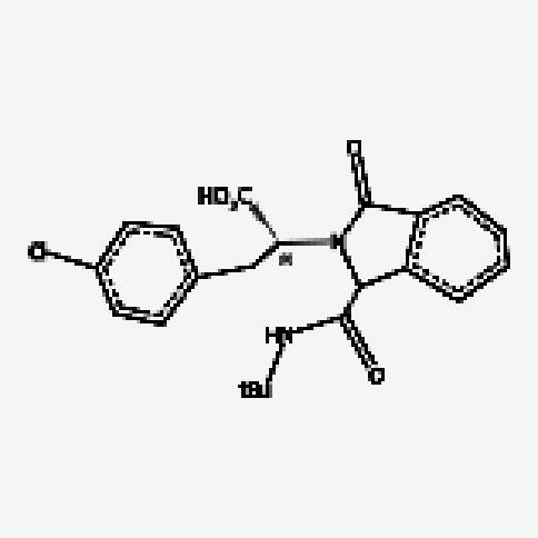 CC(C)(C)NC(=O)C1c2ccccc2C(=O)N1[C@H](Cc1ccc(Cl)cc1)C(=O)O